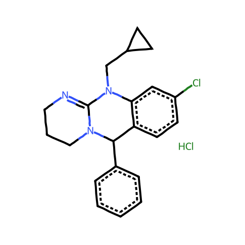 Cl.Clc1ccc2c(c1)N(CC1CC1)C1=NCCCN1C2c1ccccc1